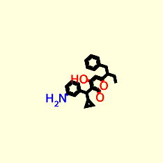 CCC(Cc1ccccc1)c1cc(O)c(C(c2cccc(N)c2)C2CC2)c(=O)o1